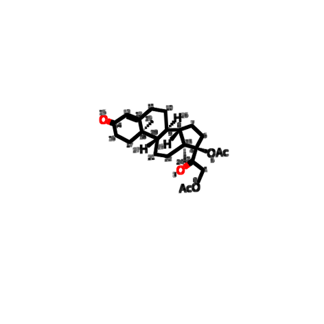 CC(=O)OCC(=O)[C@@]1(OC(C)=O)CC[C@H]2[C@@H]3CCC4=CC(=O)CC[C@]4(C)[C@H]3CC[C@@]21C